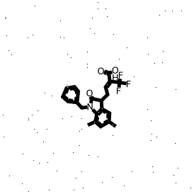 Cc1cc(C)c2c(c1)C(C/C=C(/C(=O)O)C(F)(F)F)C(=O)N2Cc1ccccc1